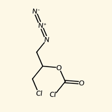 [N-]=[N+]=NCC(CCl)OC(=O)Cl